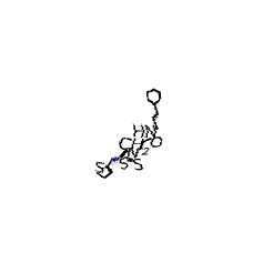 C=c1/c(=C/C2=CCCS2)sc(=S)n1CCC(=O)NCCCC1CCCCC1